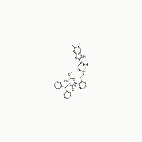 COC(=O)N[C@H](C(=O)Nc1ncccc1CC[C@@H]1CN[C@H](c2nc3cc(C)c(C)cc3[nH]2)CO1)C(c1ccccc1)c1ccccc1